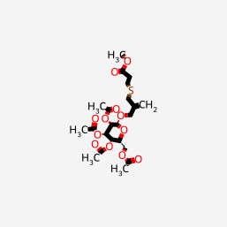 C=C(CO[C@@H]1O[C@H](COC(C)=O)[C@H](OC(C)=O)[C@H](OC(C)=O)[C@H]1OC(C)=O)CSCCC(=O)OC